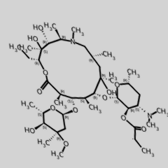 C[CH]C(=O)O[C@H]1[C@H](O[C@@H]2[C@@H](C)[C@H](O[C@H]3C[C@@](C)(OC)[C@@H](O)[C@H](C)O3)[C@@H](C)C(=O)O[C@H](CC)[C@@](C)(O)[C@H](O)[C@@H](C)N(C)C[C@H](C)C[C@@]2(C)O)O[C@H](C)C[C@@H]1N(C)C